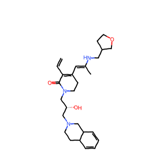 C=CC1=C(/C=C(\C)NCC2CCOC2)CCN(C[C@H](O)CN2CCC3C=CC=CC3C2)C1=O